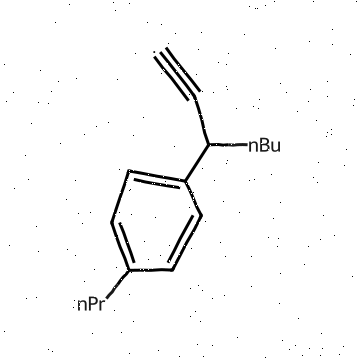 [C]#CC(CCCC)c1ccc(CCC)cc1